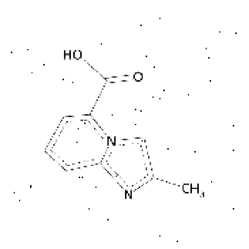 Cc1cn2c(C(=O)O)cccc2n1